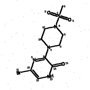 CS(=O)(=O)N1CCN(c2nc(Br)c[nH]c2=O)CC1